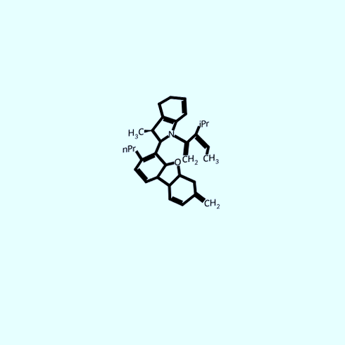 C=C1C=CC2C(C1)OC1C(C3[C@@H](C)C4=C(C=CCC4)N3C(=C)/C(=C\C)C(C)C)=C(CCC)C=CC12